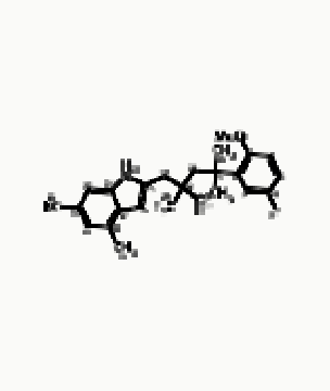 COc1ccc(F)cc1C(C)(C)CC(O)(Cc1cc2c(C)cc(C#N)cc2[nH]1)C(F)(F)F